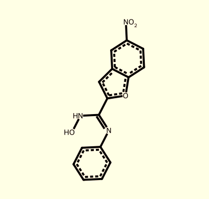 O=[N+]([O-])c1ccc2oc(/C(=N/c3ccccc3)NO)cc2c1